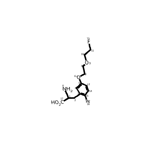 NC(Cc1cc(OCCOCCF)ccc1Br)C(=O)O